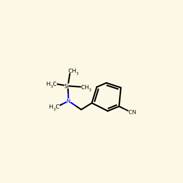 CN(Cc1cccc(C#N)c1)[Si](C)(C)C